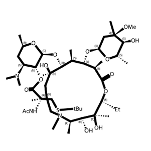 CC[C@H]1OC(=O)[C@H](C)[C@@H](O[C@H]2C[C@@](C)(OC)[C@@H](O)[C@H](C)O2)[C@H](C)[C@@H](O[C@@H]2O[C@H](C)C[C@H](N(C)C)[C@H]2OC(=O)[C@H](CSC(C)(C)C)NC(C)=O)[C@](C)(O)C[C@@H](C)CN(C)[C@H](C)[C@@H](O)[C@]1(C)O